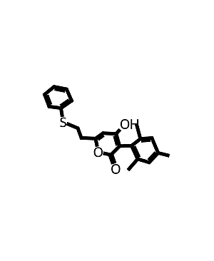 Cc1cc(C)c(-c2c(O)cc(CCSc3ccccc3)oc2=O)c(C)c1